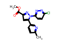 COC(=O)c1cc(-c2ccc(C)nc2)n(-c2ccc(Cl)nn2)n1